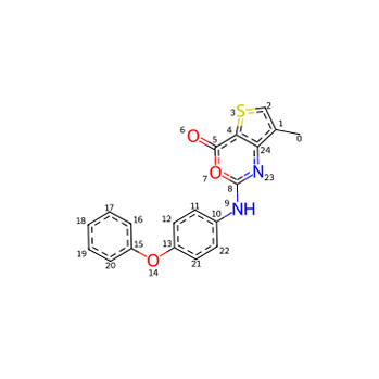 Cc1csc2c(=O)oc(Nc3ccc(Oc4ccccc4)cc3)nc12